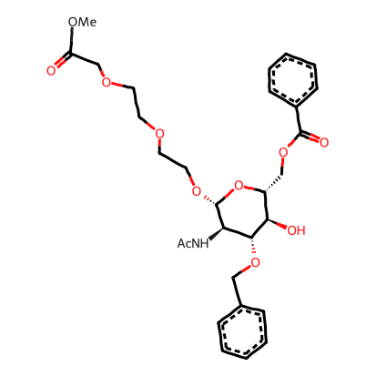 COC(=O)COCCOCCO[C@@H]1O[C@H](COC(=O)c2ccccc2)[C@@H](O)[C@H](OCc2ccccc2)[C@H]1NC(C)=O